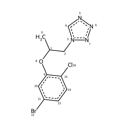 CC(Cn1cnnn1)Oc1cc(Br)ccc1Cl